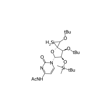 CC(=O)Nc1ccn([C@@H]2O[C@@]3([SiH2]C3OC(C)(C)C)[C@@H](OC(C)(C)C)[C@H]2O[Si](C)(C)C(C)(C)C)c(=O)n1